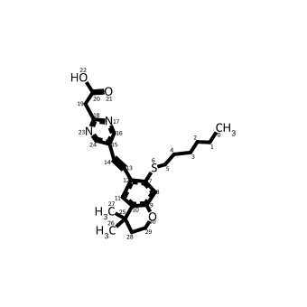 CCCCCCSc1cc2c(cc1C#Cc1cnc(CC(=O)O)nc1)C(C)(C)CCO2